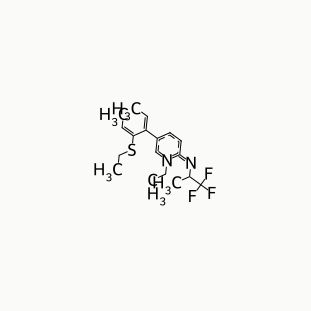 C/C=C(\C(=C/C)SCC)c1cc/c(=N/C(C)C(F)(F)F)n(CC)c1